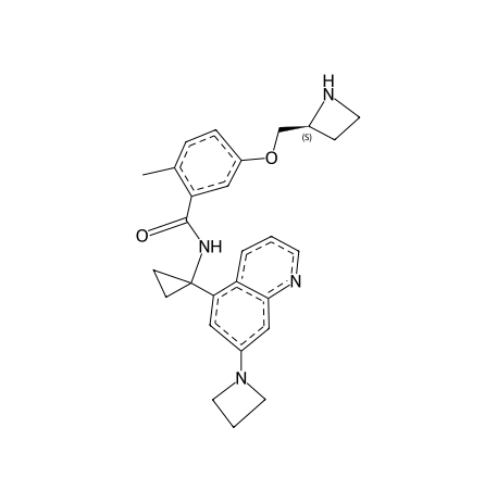 Cc1ccc(OC[C@@H]2CCN2)cc1C(=O)NC1(c2cc(N3CCC3)cc3ncccc23)CC1